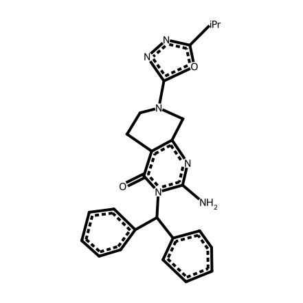 CC(C)c1nnc(N2CCc3c(nc(N)n(C(c4ccccc4)c4ccccc4)c3=O)C2)o1